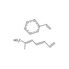 C=CC=CC=C(C)C(=O)O.C=Cc1ccccc1